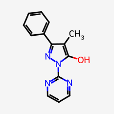 Cc1c(-c2ccccc2)nn(-c2ncccn2)c1O